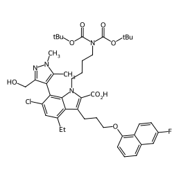 CCc1cc(Cl)c(-c2c(CO)nn(C)c2C)c2c1c(CCCOc1cccc3cc(F)ccc13)c(C(=O)O)n2CCCCN(C(=O)OC(C)(C)C)C(=O)OC(C)(C)C